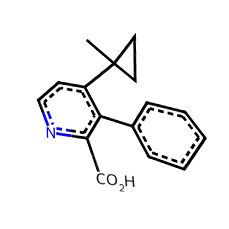 CC1(c2ccnc(C(=O)O)c2-c2ccccc2)CC1